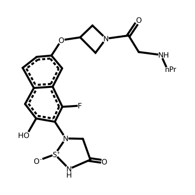 CCCNCC(=O)N1CC(Oc2ccc3cc(O)c(N4CC(=O)N[S+]4[O-])c(F)c3c2)C1